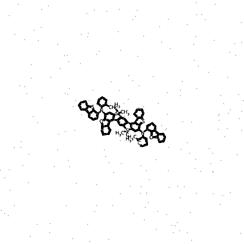 Cc1ccccc1N(c1cc2c(c3c1oc1ccccc13)-c1cc3c(cc1[Si]2(C)C)-c1c(cc(N(c2ccccc2C)c2cccc4c2oc2ccccc24)c2sc4ccccc4c12)[Si]3(C)C)c1cccc2c1sc1ccccc12